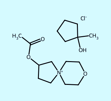 CC(=O)OC1CC[N+]2(CCOCC2)C1.CC1(O)CCCC1.[Cl-]